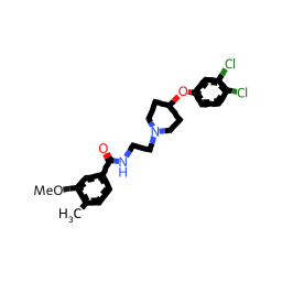 COc1cc(C(=O)NCCN2CCC(Oc3ccc(Cl)c(Cl)c3)CC2)ccc1C